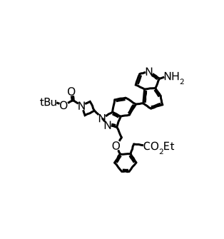 CCOC(=O)Cc1ccccc1OCc1nn(C2CN(C(=O)OC(C)(C)C)C2)c2ccc(-c3cccc4c(N)nccc34)cc12